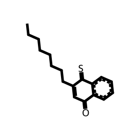 CCCCCCCCC1=CC(=O)c2ccccc2C1=S